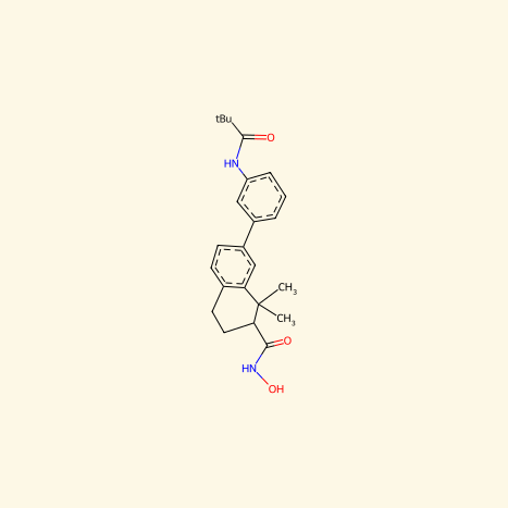 CC(C)(C)C(=O)Nc1cccc(-c2ccc3c(c2)C(C)(C)C(C(=O)NO)CC3)c1